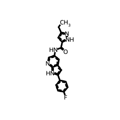 CCc1cc(C(=O)Nc2cnc3[nH]c(-c4ccc(F)cc4)cc3c2)[nH]n1